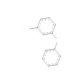 Nc1cccc(Sc2ccccc2)c1